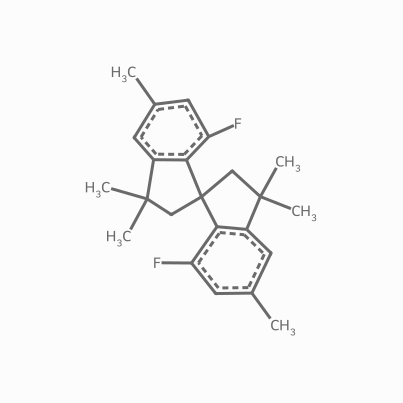 Cc1cc(F)c2c(c1)C(C)(C)CC21CC(C)(C)c2cc(C)cc(F)c21